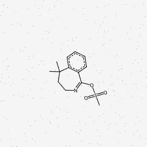 CC1(C)CCN=C(OS(C)(=O)=O)c2ccccc21